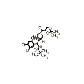 CC1(C)OC[C@H](C(=O)N2C[C@@H]3[C@H](C2)[C@@H]3C(N[S+]([O-])C(C)(C)C)c2cc(Cl)c(Cl)cc2O)O1